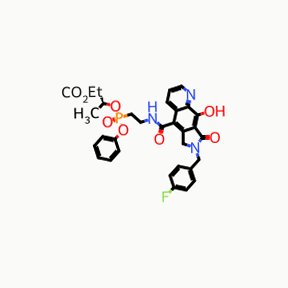 CCOC(=O)[C@H](C)OP(=O)(CCNC(=O)c1c2c(c(O)c3ncccc13)C(=O)N(Cc1ccc(F)cc1)C2)Oc1ccccc1